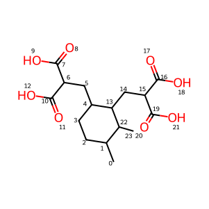 CC1CCC(CC(C(=O)O)C(=O)O)C(CC(C(=O)O)C(=O)O)C1C